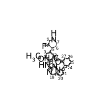 COc1cc([C@@H]2CCNC[C@H]2F)ccc1Nc1ncc2ccc(-c3ccccc3OC)n2n1